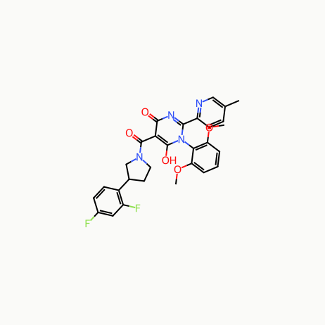 COc1cccc(OC)c1-n1c(-c2ccc(C)cn2)nc(=O)c(C(=O)N2CCC(c3ccc(F)cc3F)C2)c1O